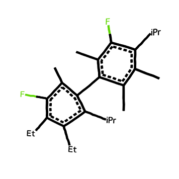 CCc1c(F)c(C)c(-c2c(C)c(C)c(C(C)C)c(F)c2C)c(C(C)C)c1CC